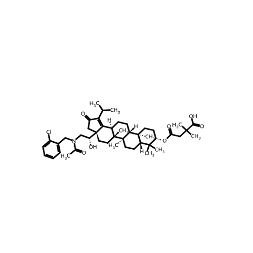 CC(=O)N(Cc1ccccc1Cl)C[C@@H](O)[C@@]12CC[C@]3(C)[C@H](CC[C@@H]4[C@@]5(C)CC[C@H](OC(=O)CC(C)(C)C(=O)O)C(C)(C)[C@@H]5CC[C@]43C)C1=C(C(C)C)C(=O)C2